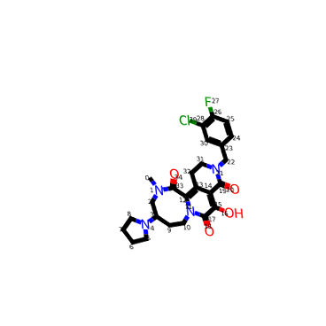 CN1CC(N2CCCC2)CCn2c(c3c(c(O)c2=O)C(=O)N(Cc2ccc(F)c(Cl)c2)CC3)C1=O